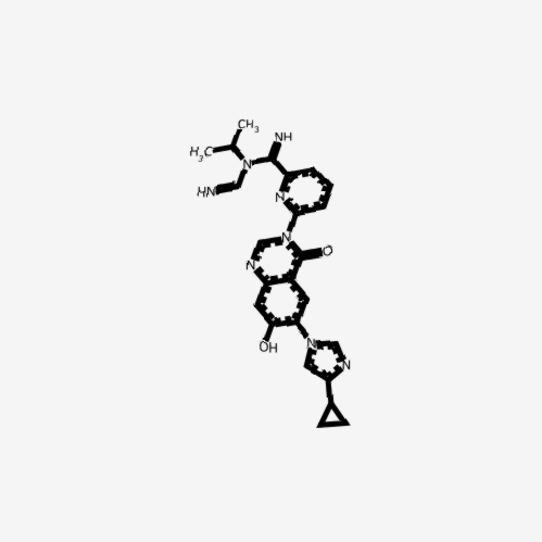 CC(C)N(C=N)C(=N)c1cccc(-n2cnc3cc(O)c(-n4cnc(C5CC5)c4)cc3c2=O)n1